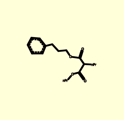 CCCOC(=O)C(CCC)C(=O)OCCCc1ccccc1